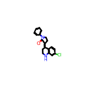 O=C1C(=C2CCNc3cc(Cl)ccc32)CCN1c1ccccc1